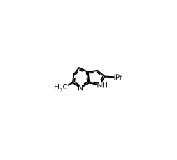 Cc1ccc2cc(C(C)C)[nH]c2n1